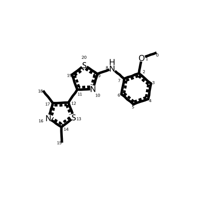 COc1ccccc1Nc1nc(-c2sc(C)nc2C)cs1